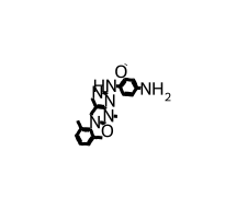 COc1cc(N)ccc1Nc1ncc2c(n1)N(C)C(=O)N(c1c(C)cccc1C)C2